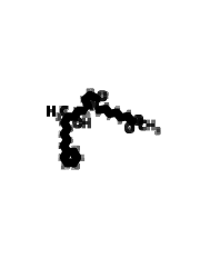 COC(=O)CCCCCCN1C(=O)CC[C@@H]1C=C[C@@H](O)[C@H](C)CCCCCc1ccccc1